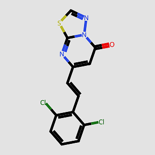 O=c1cc(/C=C/c2c(Cl)cccc2Cl)nc2scnn12